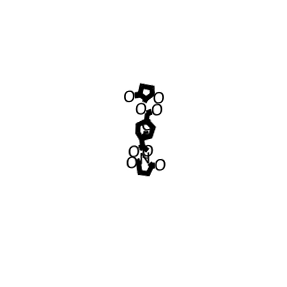 O=C1CCC(=O)C1OC(=O)C12CCC(C(=O)ON3C(=O)CCC3=O)(CC1)CC2